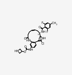 Cc1cc(F)c(C(=O)N[C@H]2CC=CCCC(=O)Nc3cc(NC(=O)OC4CNC4)ccc3-c3nc2[nH]c3Cl)c(F)c1